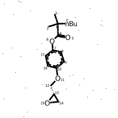 CCCCC(C)(C)C(=O)Oc1ccc(OC[C@@H]2CO2)cc1